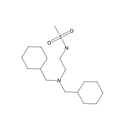 CS(=O)(=O)[N]CCN(CC1CCCCC1)CC1CCCCC1